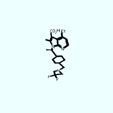 CCc1ccnc2c1c(C(=O)O)c(C)n2[C@H](C)C1CCC(CN2CC(F)(F)C2)CC1